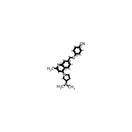 Cc1cc(N2CCC(N(C)C)C2)c2ccc(COc3ccc(C#N)cc3)cc2n1